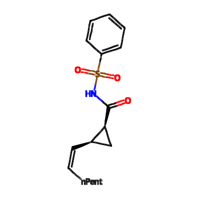 CCCCC/C=C\[C@@H]1C[C@@H]1C(=O)NS(=O)(=O)c1ccccc1